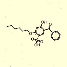 CCCCCCOc1cc(O)c(C(=O)c2ccccc2)cc1S(=O)(=O)O